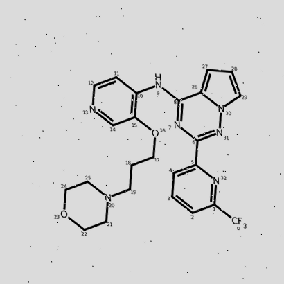 FC(F)(F)c1cccc(-c2nc(Nc3ccncc3OCCCN3CCOCC3)c3cccn3n2)n1